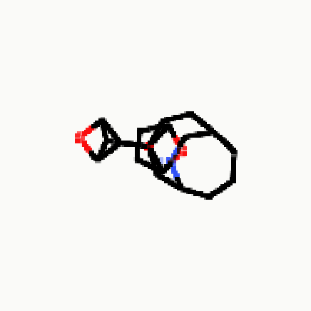 C1CC2CCC(C3C4OC3C4C3C4CCC3O4)CC(C1)NC2